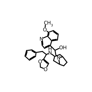 COc1cccc2c(C(O)CN3C4CCC3CC(NC(Cc3ccccc3)C3=COCO3)C4)ccnc12